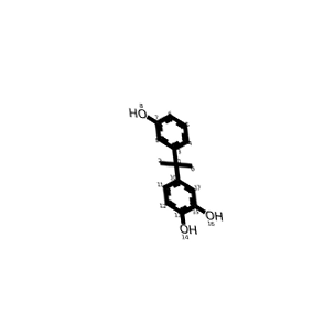 CC(C)(c1cccc(O)c1)c1ccc(O)c(O)c1